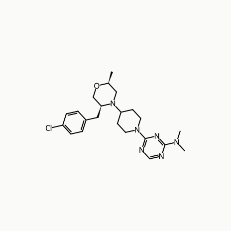 C[C@H]1CN(C2CCN(c3ncnc(N(C)C)n3)CC2)[C@@H](Cc2ccc(Cl)cc2)CO1